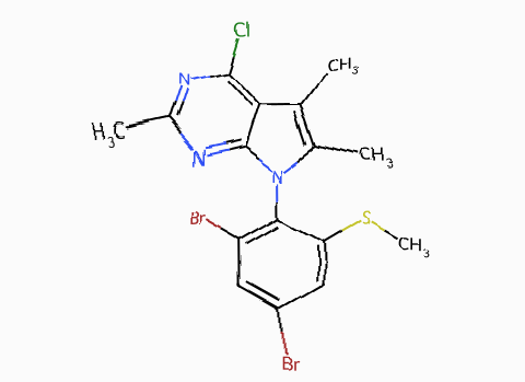 CSc1cc(Br)cc(Br)c1-n1c(C)c(C)c2c(Cl)nc(C)nc21